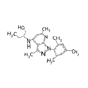 CCC(CO)Nc1cc(C)nc2c1c(C)nn2-c1c(C)cc(C)cc1C